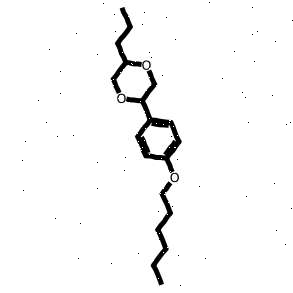 CCCCCCOc1ccc(C2COC(CCC)CO2)cc1